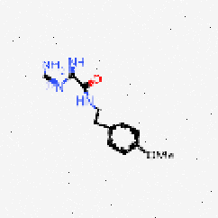 COc1ccc(CCNC(=O)C(=N)/N=C\N)cc1